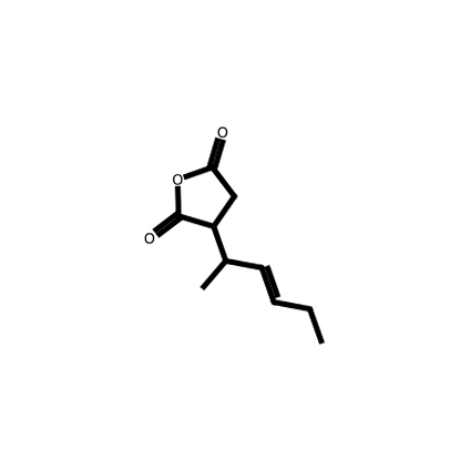 CCC=CC(C)C1CC(=O)OC1=O